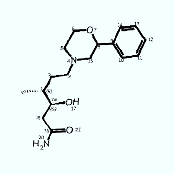 C[C@H](CCN1CCOC(c2ccccc2)C1)[C@@H](O)CC(N)=O